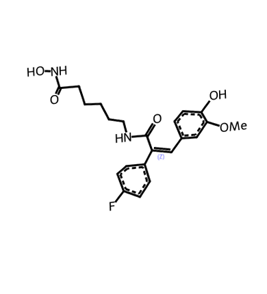 COc1cc(/C=C(\C(=O)NCCCCCC(=O)NO)c2ccc(F)cc2)ccc1O